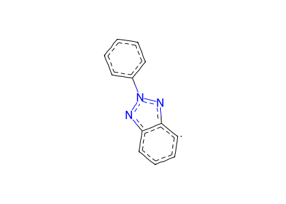 [c]1cccc2nn(-c3ccccc3)nc12